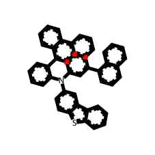 c1cc(-c2cccc3ccccc23)cc(N(c2ccc3sc4ccccc4c3c2)c2ccccc2-c2cc3ccccc3c3ccccc23)c1